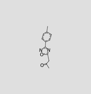 CC(=O)Cc1nc(-c2ccc(C)cc2)no1